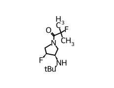 CC(C)(C)N[C@@H]1CN(C(=O)C(C)(C)F)C[C@@H]1F